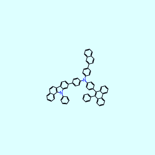 c1ccc(-c2c(-c3ccc(N(c4ccc(-c5ccc6ccccc6c5)cc4)c4ccc(-c5ccc6c7ccc8ccccc8c7n(-c7ccccc7)c6c5)cc4)cc3)c3ccccc3c3ccccc23)cc1